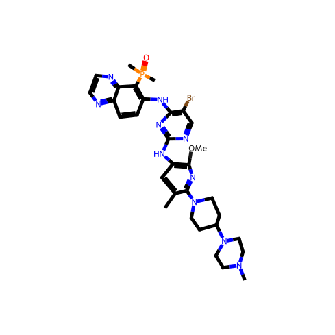 COc1nc(N2CCC(N3CCN(C)CC3)CC2)c(C)cc1Nc1ncc(Br)c(Nc2ccc3nccnc3c2P(C)(C)=O)n1